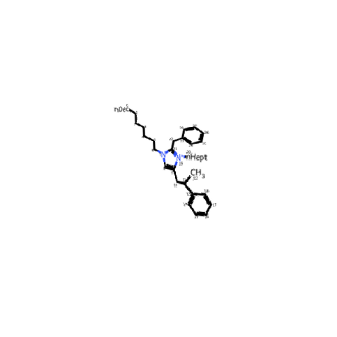 CCCCCCCCCCCCCCCCn1cc(CC(C)c2ccccc2)[n+](CCCCCCC)c1Cc1ccccc1